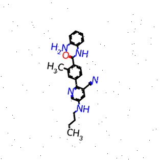 CCCCNc1cnc(-c2ccc(C(=O)Nc3ccccc3N)c(C)c2)c(C#N)c1